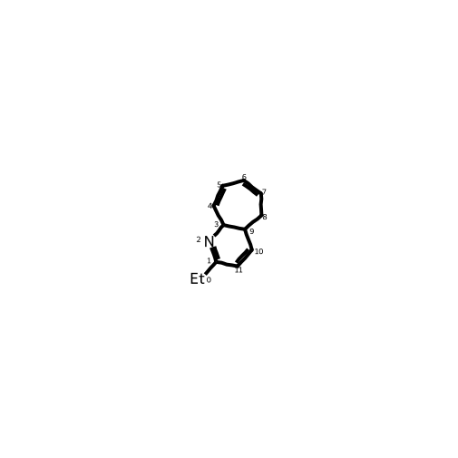 CCC1=NC2C=CC=CCC2C=C1